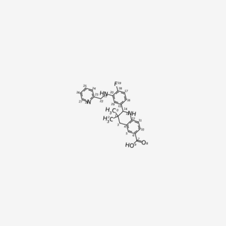 CC1(C)Cc2cc(C(=O)O)ccc2NC1c1ccc(F)c(NCc2ccccn2)c1